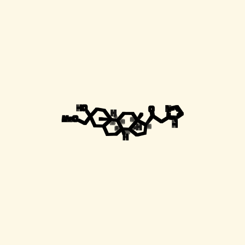 COCC1(O)CC[C@@]2(C)C(CC[C@H]3[C@@H]4CC[C@H](C(=O)Cc5ncc[nH]5)[C@@]4(C)CC[C@@H]32)C1